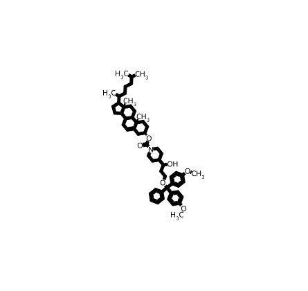 COc1ccc(C(OCCC(O)C2CCN(C(=O)O[C@@H]3CC[C@]4(C)C(=CCC5C6CCC(C(C)CCCC(C)C)[C@]6(C)CCC54)C3)CC2)(c2ccccc2)c2ccc(OC)cc2)cc1